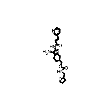 Nc1c(NC(=O)/C=C/c2cccnc2)sc2c1CCC(COC(=O)NCC1CCCO1)C2